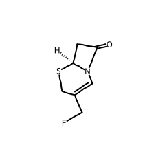 O=C1C[C@@H]2SCC(CF)=CN12